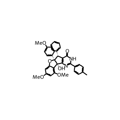 COc1ccc([C@@]23Oc4cc(OC)cc(OC)c4[C@]2(O)c2nc(-c4ccc(C)cc4)[nH]c(=O)c2[C@H]3c2ccccc2)cc1